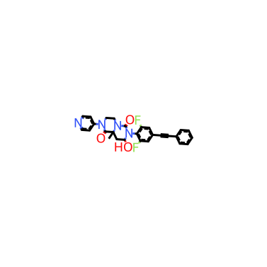 CC12CC(O)N(c3c(F)cc(C#Cc4ccccc4)cc3F)C(=O)N1CCN(c1ccncc1)C2=O